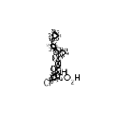 O=C(COCC(=O)N1CCCCC1Oc1ccc(Cc2ccccc2)cc1)Nc1ccc(Cl)cc1C(=O)O